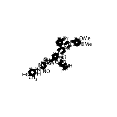 CCOc1nc2[nH]cc(F)c2cc1Oc1cc(N2CCC(N3CCN(Cc4ccc(OC)c(OC)c4)C[C@H]3c3ccccc3C(C)C)CC2)ccc1C(=O)NS(=O)(=O)c1cnc(NC[C@H]2CC[C@](C)(O)CC2)c(N=O)c1